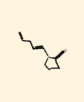 C=CCC=CN1CCCC1=O